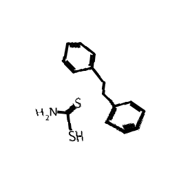 NC(=S)S.c1ccc(CCc2ccccc2)cc1